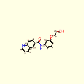 O=C(Nc1cccc(OCCO)c1)c1ccc2ncccc2c1